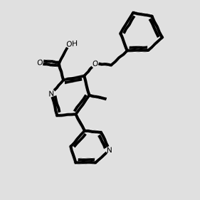 Cc1c(-c2cccnc2)cnc(C(=O)O)c1OCc1ccccc1